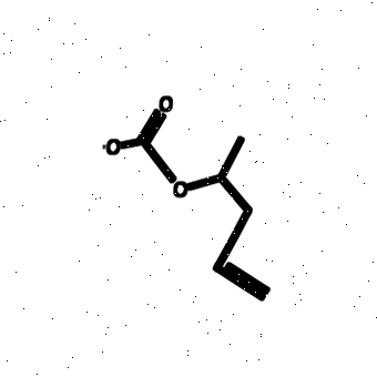 C=CCC(C)OC([O])=O